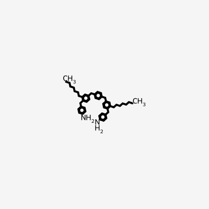 CCCCCCCCc1cc(Cc2ccc(Cc3ccc(Cc4ccc(N)cc4)c(CCCCCCCC)c3)cc2)ccc1Cc1ccc(N)cc1